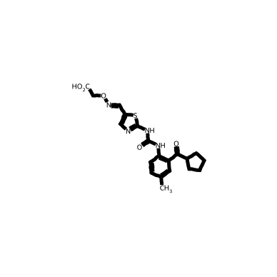 Cc1ccc(NC(=O)Nc2ncc(/C=N/OCC(=O)O)s2)c(C(=O)C2CCCC2)c1